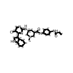 C=CC(=O)Nc1ccc(NC(=O)C2C[C@@H](Nc3ncc(Cl)c(-c4c[nH]c5ccccc45)n3)CN(C)C2)cc1